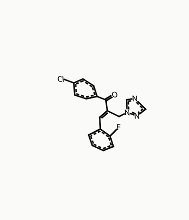 O=C(/C(=C/c1ccccc1F)Cn1cncn1)c1ccc(Cl)cc1